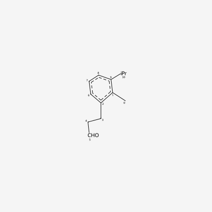 Cc1c(CCC=O)cccc1C(C)C